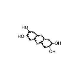 Oc1cc2cc3cc(O)c(O)cc3nc2cc1O